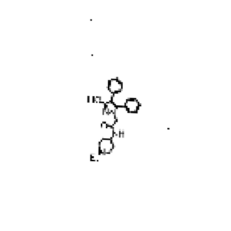 CCN1CCC(NC(=O)Cn2nc(O)c(-c3ccccc3)c2-c2ccccc2)CC1